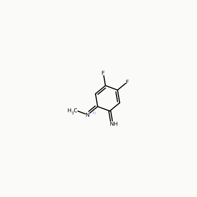 C/N=C1\C=C(F)C(F)=CC1=N